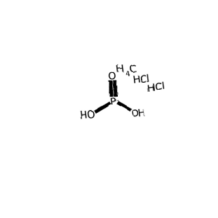 C.Cl.Cl.O=[P](O)O